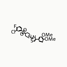 COc1ccc(-c2csc(N3CCC(S(=O)(=O)c4ccc(F)c(Cl)c4)CC3)n2)cc1OC